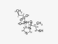 C=CCS(=O)(=O)NC(=O)[C@H]1CSCN1C(=O)[C@H](C)CS